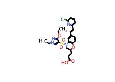 CCOc1nn(CC)cc1S(=O)(=O)N1CC(CCC(=O)O)Oc2ccc(C=Cc3cccc(Cl)n3)cc21